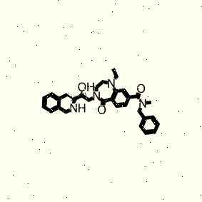 CCN1CCN(C[C@@H](O)[C@@H]2Cc3ccccc3CN2)C(=O)c2ccc(C(=O)N(C)Cc3ccccc3)cc21